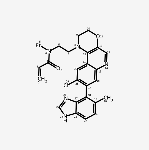 C=CC(=O)N(CC)CCN1CCOc2cnc3cc(-c4c(C)ccc5[nH]cnc45)c(Cl)cc3c21